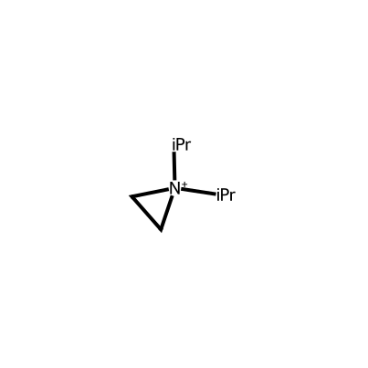 CC(C)[N+]1(C(C)C)CC1